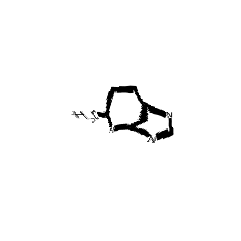 [CH2]C1C=CC2=NC=NC2=N1